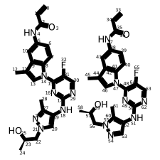 C=CC(=O)Nc1ccc2c(c1)c(C)cn2-c1nc(Nc2cn(C[C@@H](C)O)nc2C)ncc1F.C=CC(=O)Nc1ccc2c(c1)c(C)cn2-c1nc(Nc2cnn(C[C@@H](C)O)c2C)ncc1F